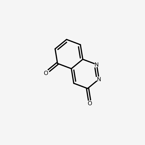 O=C1C=C2C(=O)C=CC=C2N=N1